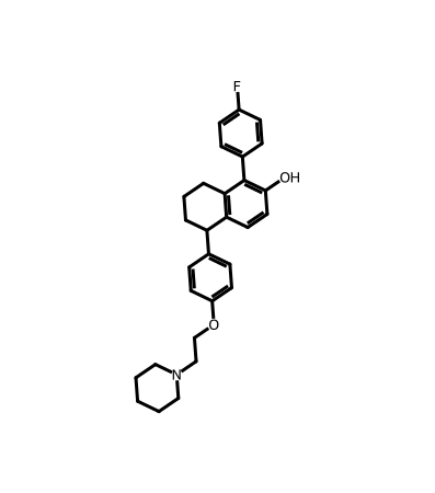 Oc1ccc2c(c1-c1ccc(F)cc1)CCCC2c1ccc(OCCN2CCCCC2)cc1